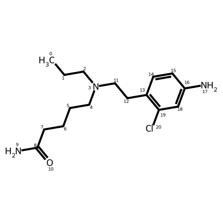 CCCN(CCCCC(N)=O)CCc1ccc(N)cc1Cl